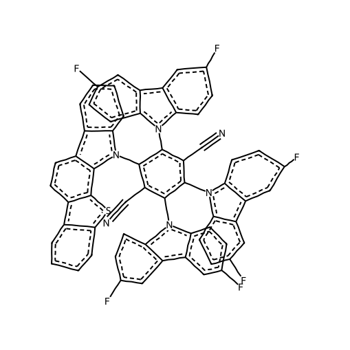 N#Cc1c(-n2c3ccc(F)cc3c3cc(F)ccc32)c(-n2c3ccc(F)cc3c3cc(F)ccc32)c(C#N)c(-n2c3ccccc3c3ccc4c5ccccc5sc4c32)c1-n1c2ccc(F)cc2c2cc(F)ccc21